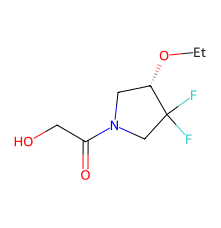 CCO[C@H]1CN(C(=O)CO)CC1(F)F